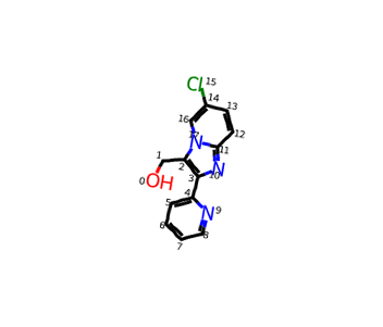 OCc1c(-c2ccccn2)nc2ccc(Cl)cn12